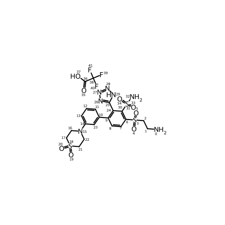 NCCS(=O)(=O)c1ccc(-c2cccc(N3CCS(=O)(=O)CC3)c2)c(-c2nnn[nH]2)c1S(N)(=O)=O.O=C(O)C(F)(F)F